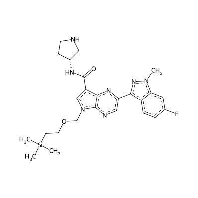 Cn1nc(-c2cnc3c(n2)c(C(=O)N[C@@H]2CCNC2)cn3COCC[Si](C)(C)C)c2ccc(F)cc21